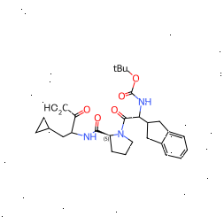 CC(C)(C)OC(=O)NC(C(=O)N1CCC[C@H]1C(=O)NC(CC1CC1)C(=O)C(=O)O)C1Cc2ccccc2C1